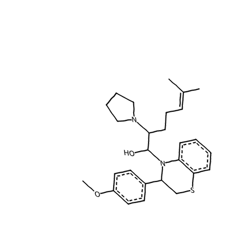 COc1ccc(C2CSc3ccccc3N2C(O)C(CCC=C(C)C)N2CCCC2)cc1